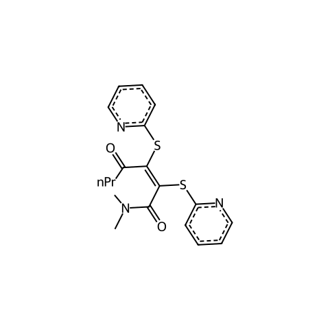 CCCC(=O)/C(Sc1ccccn1)=C(/Sc1ccccn1)C(=O)N(C)C